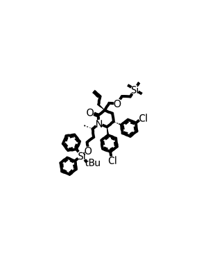 C=CC[C@@]1(COCC[Si](C)(C)C)C[C@H](c2cccc(Cl)c2)[C@@H](c2ccc(Cl)cc2)N([C@@H](C)CCO[Si](c2ccccc2)(c2ccccc2)C(C)(C)C)C1=O